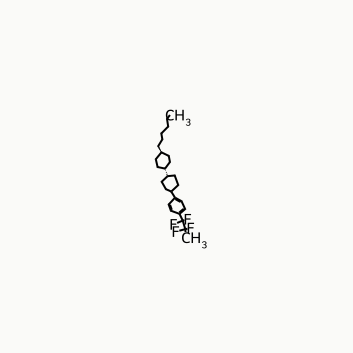 CCCCCC[C@H]1CC[C@H](C2CCC(c3ccc(C(F)(F)C(C)(F)F)cc3)CC2)CC1